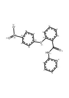 O=C(Nc1ccccn1)c1ccccc1Oc1ccc([N+](=O)[O-])cc1